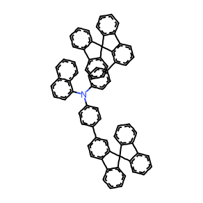 c1ccc2c(c1)-c1ccccc1C21c2ccccc2-c2ccc(-c3ccc(N(c4ccc(-c5cccc6c5C5(c7ccccc7-c7ccccc75)c5ccccc5-6)cc4)c4cccc5ccccc45)cc3)cc21